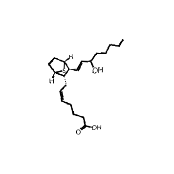 CCCCCC(O)/C=C/[C@H]1[C@H](C/C=C\CCCC(=O)O)[C@@H]2CC[C@H]1S2